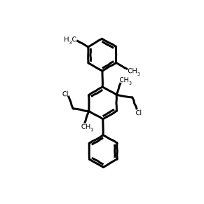 Cc1ccc(C)c(C2=CC(C)(CCl)C(c3ccccc3)=CC2(C)CCl)c1